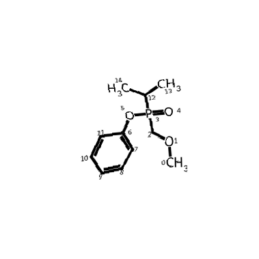 COCP(=O)(Oc1ccccc1)C(C)C